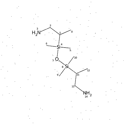 CC(CN)[Si](C)(C)O[Si](C)(C)C(C)CN